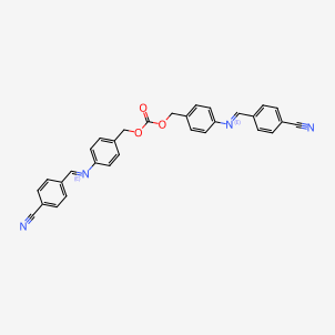 N#Cc1ccc(/C=N/c2ccc(COC(=O)OCc3ccc(/N=C/c4ccc(C#N)cc4)cc3)cc2)cc1